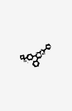 NC1(c2ccc(-c3nc4nc(-c5ccsc5)nn4cc3-c3ccccc3)cc2)CCC1